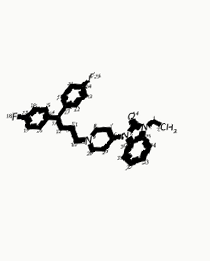 CCn1c(=O)n(C2CCN(CCCC(c3ccc(F)cc3)c3ccc(F)cc3)CC2)c2ccccc21